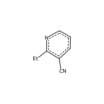 CCc1ncccc1C#N